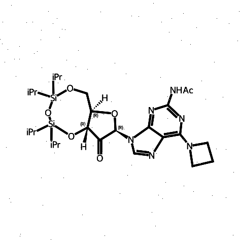 CC(=O)Nc1nc(N2CCC2)c2ncn([C@@H]3O[C@@H]4CO[Si](C(C)C)(C(C)C)O[Si](C(C)C)(C(C)C)O[C@H]4C3=O)c2n1